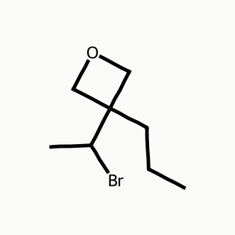 CCCC1(C(C)Br)COC1